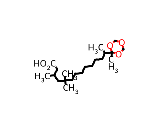 CC(CC(=O)O)CC(C)(C)CCCCCCCC(C)C1(C)OCOCO1